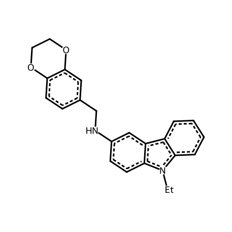 CCn1c2ccccc2c2cc(NCc3ccc4c(c3)OCCO4)ccc21